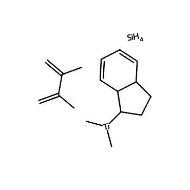 C=C(C)C(=C)C.[CH3][Ti]([CH3])[CH]1CCC2C=CC=CC21.[SiH4]